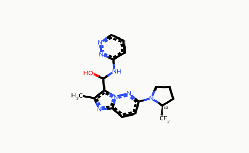 Cc1nc2ccc(N3CCC[C@H]3C(F)(F)F)nn2c1C(O)Nc1cccnn1